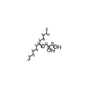 CCCCCCC(CCCCC)OCC(O)CO